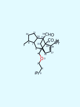 CC(C)CCOCC12CC3C(C)CCC3C3(C=O)CC1C=C(C(C)C)C32C(=O)O